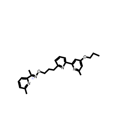 CCCOc1cc(C)nc(-c2cccc(CCCO/N=C(\C)c3cccc(C)n3)n2)c1